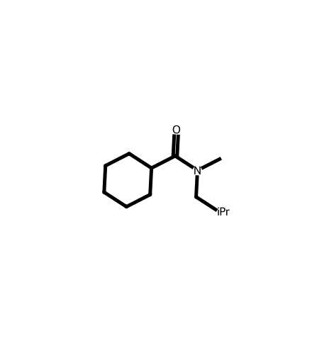 CC(C)CN(C)C(=O)C1CCCCC1